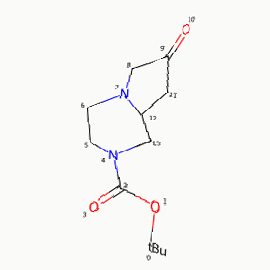 CC(C)(C)OC(=O)N1CCN2CC(=O)CC2C1